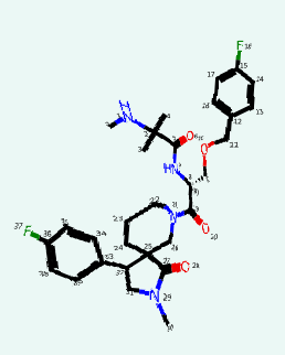 CNC(C)(C)C(=O)N[C@H](COCc1ccc(F)cc1)C(=O)N1CCCC2(C1)C(=O)N(C)CC2c1ccc(F)cc1